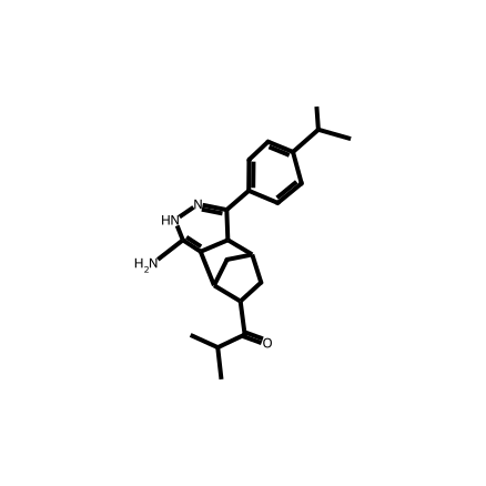 CC(C)C(=O)C1CC2CC1C1=C(N)NN=C(c3ccc(C(C)C)cc3)C12